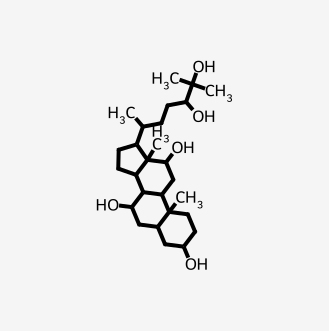 CC(CCC(O)C(C)(C)O)C1CCC2C3C(O)CC4CC(O)CCC4(C)C3CC(O)C12C